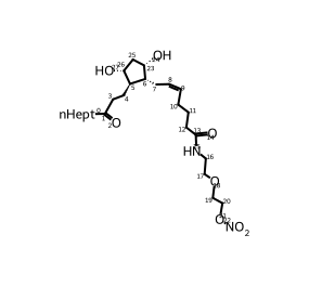 CCCCCCCC(=O)CC[C@@H]1[C@@H](C/C=C\CCCC(=O)NCCOCCO[N+](=O)[O-])[C@@H](O)C[C@H]1O